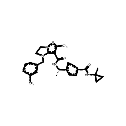 C[C@H](NC(=O)c1c(C(F)(F)F)nn2c1N(Cc1cccc(C(F)(F)F)c1)CC2)c1ccc(C(=O)NC2(C)CC2)cc1